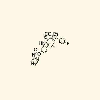 CCOC(=O)OC1=CN(C(=O)c2ccc(F)cc2)CC(C)(C)c2c1[nH]c1cc(OC(=O)N(C)c3cnc(C)cn3)ccc21